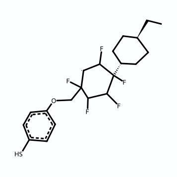 CC[C@H]1CC[C@H](C2(F)C(F)[CH]C(F)(COc3ccc(S)cc3)C(F)C2F)CC1